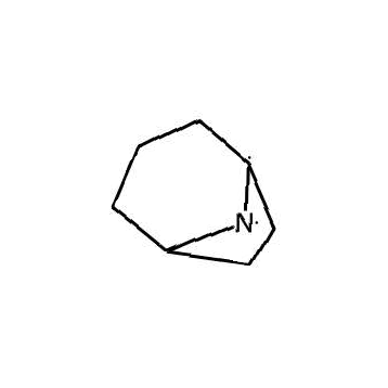 C1C[C]2CCC(C1)[N]2